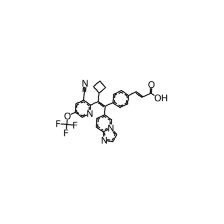 N#Cc1cc(OC(F)(F)F)cnc1C(=C(c1ccc(C=CC(=O)O)cc1)c1ccc2nccn2c1)C1CCC1